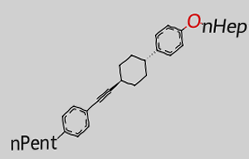 CCCCCCCOc1ccc([C@H]2CC[C@H](C#Cc3ccc(CCCCC)cc3)CC2)cc1